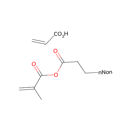 C=C(C)C(=O)OC(=O)CCCCCCCCCCC.C=CC(=O)O